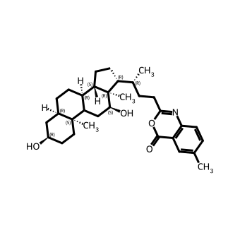 Cc1ccc2nc(CC[C@@H](C)[C@H]3CC[C@H]4[C@@H]5CC[C@@H]6C[C@H](O)CC[C@]6(C)C5C[C@H](O)[C@]34C)oc(=O)c2c1